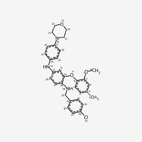 COc1cc(C)ccc1Oc1nc(Nc2ccc(N3CCOCC3)cc2)ncc1NCc1ccc(Cl)cc1